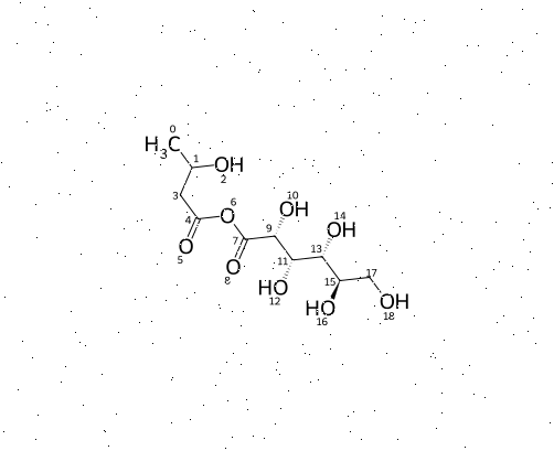 CC(O)CC(=O)OC(=O)[C@H](O)[C@@H](O)[C@H](O)[C@H](O)CO